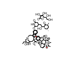 CC[C@]1(O)C[C@H]2C[N@](CCc3c([nH]c4ccccc34)[C@@](C(=O)OC)(c3cc4c(cc3OC)N(C=O)[C@H]3[C@@](O)(C(=O)OC)[C@H](OC(C)=O)[C@]5(CC)C=CCN6CC[C@]43[C@@H]65)C2)C1.C[C@@H]1C[C@@H]([C@H](O)CC2CC(=O)NC(=O)C2)C(=O)[C@@H](C)C1.O=C1O[C@H]([C@H](O)CO)C(O)=C1O